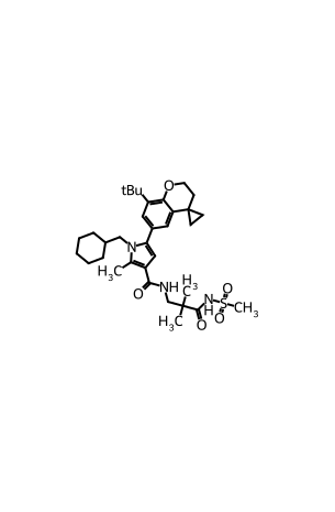 Cc1c(C(=O)NCC(C)(C)C(=O)NS(C)(=O)=O)cc(-c2cc(C(C)(C)C)c3c(c2)C2(CCO3)CC2)n1CC1CCCCC1